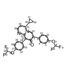 O=c1c(-c2ccc(OC(F)F)cc2)cn2c(C3CC3)ccnc2c1-c1ccc(OC(F)F)cc1